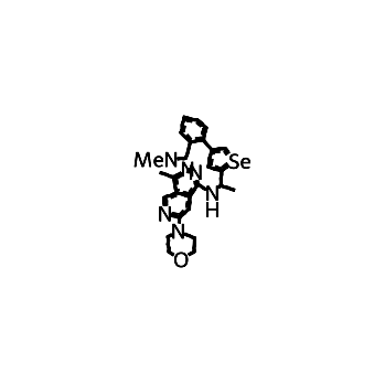 CNCc1ccccc1-c1c[se]c(C(C)Nc2nnc(C)c3cnc(N4CCOCC4)cc23)c1